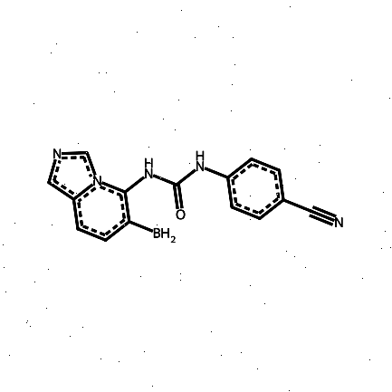 Bc1ccc2cncn2c1NC(=O)Nc1ccc(C#N)cc1